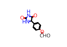 O=COc1ccc(C2NC(=O)NC2=O)cc1